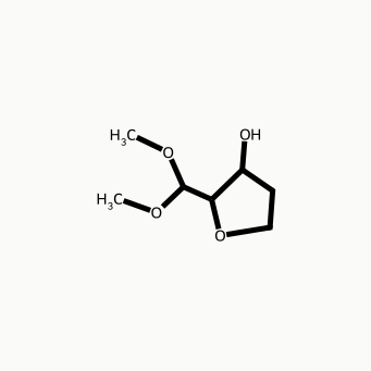 COC(OC)C1OCCC1O